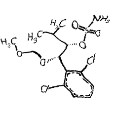 COCO[C@@H](c1c(Cl)cccc1Cl)[C@@H](OS(N)(=O)=O)C(C)C